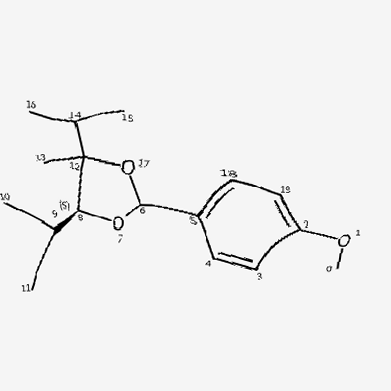 COc1ccc(C2O[C@@H](C(C)C)C(C)(C(C)C)O2)cc1